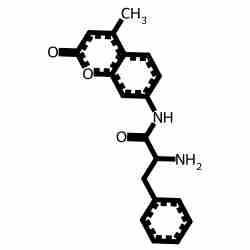 Cc1cc(=O)oc2cc(NC(=O)C(N)Cc3ccccc3)ccc12